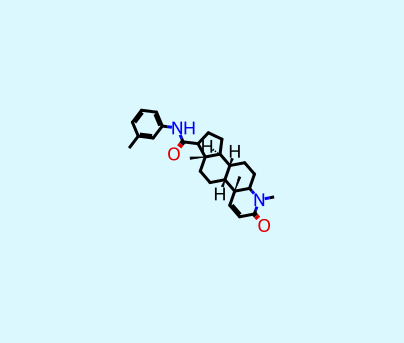 Cc1cccc(NC(=O)C2CC[C@H]3[C@@H]4CCC5N(C)C(=O)C=C[C@]5(C)[C@@H]4CC[C@]23C)c1